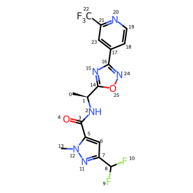 C[C@H](NC(=O)c1cc(C(F)F)nn1C)c1nc(-c2ccnc(C(F)(F)F)c2)no1